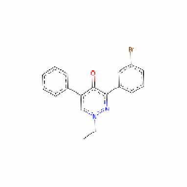 CCn1cc(-c2ccccc2)c(=O)c(-c2cccc(Br)c2)n1